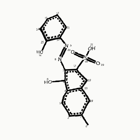 Cc1ccc2c(O)c(N=Nc3ccccc3O)c(S(=O)(=O)O)cc2c1